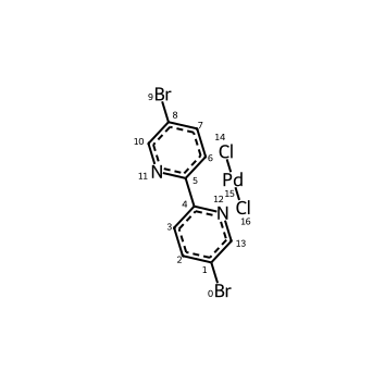 Brc1ccc(-c2ccc(Br)cn2)nc1.[Cl][Pd][Cl]